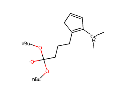 CCCCOC([O])(CCCC1=[C]([GeH]([CH3])[CH3])C=CC1)OCCCC